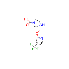 O=C(O)N1CCN[C@H](COc2cc(C(F)(F)F)ccn2)C1